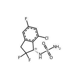 NS(=O)(=O)N[C@H]1c2c(Cl)cc(F)cc2CC1(F)F